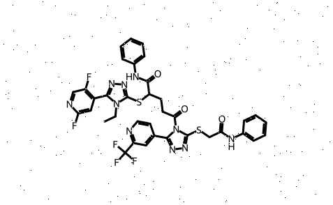 CCn1c(SC(CCC(=O)n2c(SCC(=O)Nc3ccccc3)nnc2-c2ccnc(C(F)(F)F)c2)C(=O)Nc2ccccc2)nnc1-c1cc(F)ncc1F